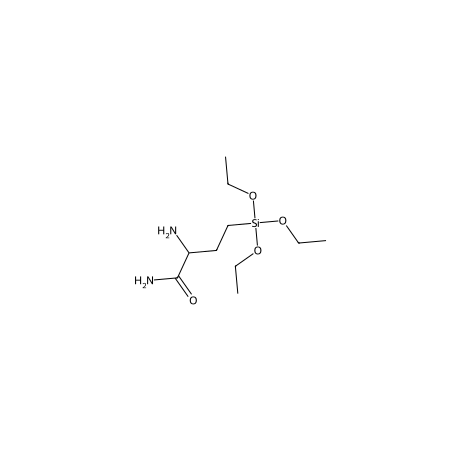 CCO[Si](CCC(N)C(N)=O)(OCC)OCC